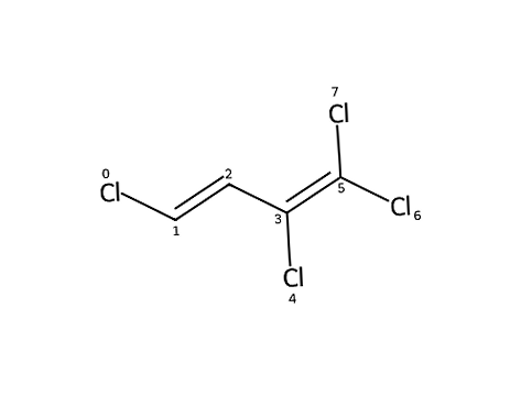 ClC=CC(Cl)=C(Cl)Cl